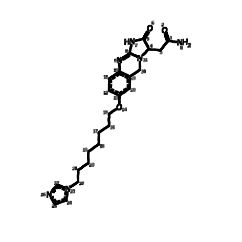 NC(=O)CC1C(=O)NC2=Nc3ccc(OCCCCCCCCn4ccnc4)cc3CN21